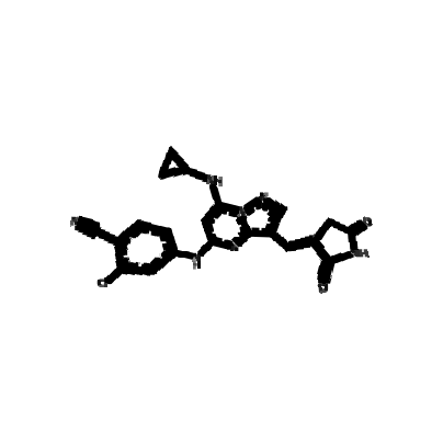 N#Cc1ccc(Nc2cc(NC3CC3)n3ncc(/C=C4\CC(=O)NC4=O)c3n2)cc1Cl